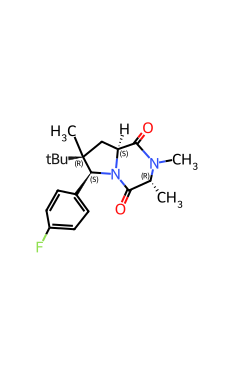 C[C@@H]1C(=O)N2[C@@H](c3ccc(F)cc3)[C@@](C)(C(C)(C)C)C[C@H]2C(=O)N1C